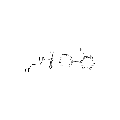 O=S(=O)(NCCCl)c1ccc(-c2cccnc2F)cc1